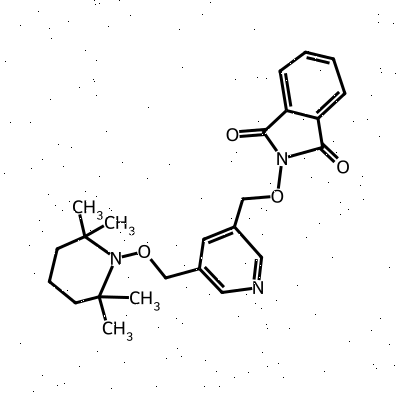 CC1(C)CCCC(C)(C)N1OCc1cncc(CON2C(=O)c3ccccc3C2=O)c1